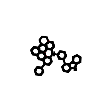 c1ccc(-c2ccc(N(c3cccc(-c4cccc5sc6ccccc6c45)c3)c3ccccc3-c3cccc4cccc(C5CCCCC5)c34)c(-c3ccccc3)c2)cc1